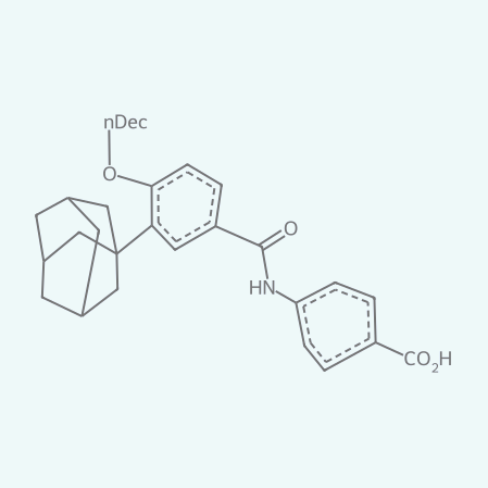 CCCCCCCCCCOc1ccc(C(=O)Nc2ccc(C(=O)O)cc2)cc1C12CC3CC(CC(C3)C1)C2